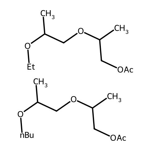 CCCCOC(C)COC(C)COC(C)=O.CCOC(C)COC(C)COC(C)=O